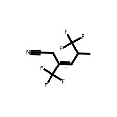 CC(/C=C(\CC#N)C(F)(F)F)C(F)(F)F